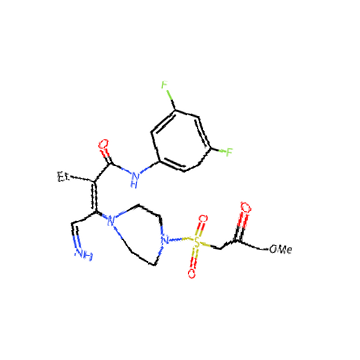 CCC(C(=O)Nc1cc(F)cc(F)c1)=C(C=N)N1CCN(S(=O)(=O)CC(=O)OC)CC1